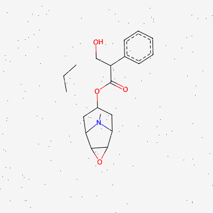 CCC.CN1C2CC(OC(=O)C(CO)c3ccccc3)CC1C1OC12